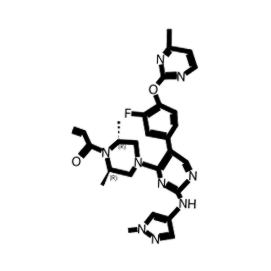 C=CC(=O)N1[C@H](C)CN(c2nc(Nc3cnn(C)c3)ncc2-c2ccc(Oc3nccc(C)n3)c(F)c2)C[C@H]1C